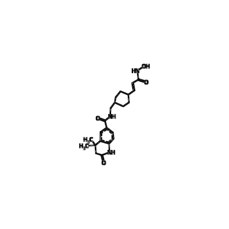 CC1(C)CC(=O)Nc2ccc(C(=O)NCC3CCC(/C=C/C(=O)NO)CC3)cc21